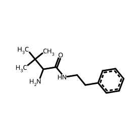 CC(C)(C)C(N)C(=O)NCCc1ccccc1